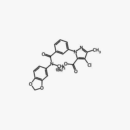 Cc1nn(-c2cccc(C(=O)N(C)c3ccc4c(c3)OCO4)c2)c(C(=O)OC(C)(C)C)c1Cl